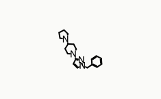 c1ccc(Cn2ccc(N3CCC(N4CCCC4)CC3)n2)cc1